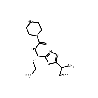 CCCCC[C@H](N)c1nnc([C@H](CCC(=O)O)NC(=O)N2CCNCC2)o1